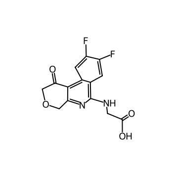 O=C(O)CNc1nc2c(c3cc(F)c(F)cc13)C(=O)COC2